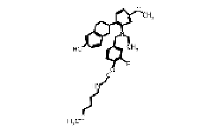 CCN(Cc1ccc(OCCNCCCCOC)c(F)c1)c1cc(OC)ccc1C1CCc2cc(O)ccc2C1